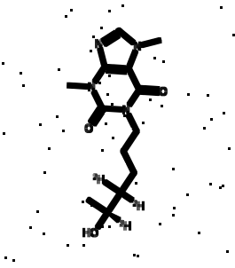 [2H]C([2H])(CCCn1c(=O)c2c(ncn2C)n(C)c1=O)[C@@]([2H])(C)O